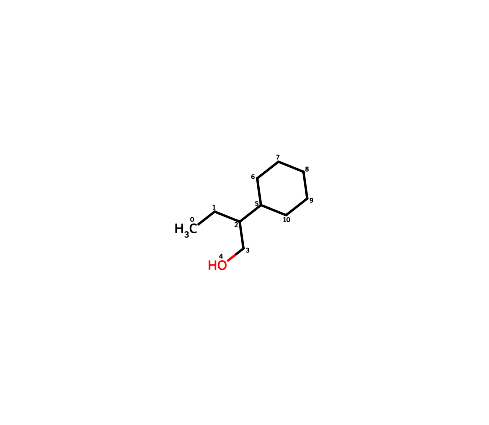 CCC(CO)C1CCCCC1